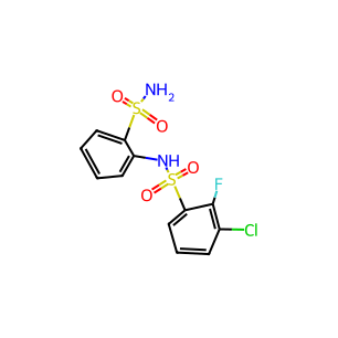 NS(=O)(=O)c1ccccc1NS(=O)(=O)c1cccc(Cl)c1F